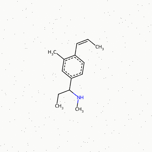 C/C=C\c1ccc(C(CC)NC)cc1C